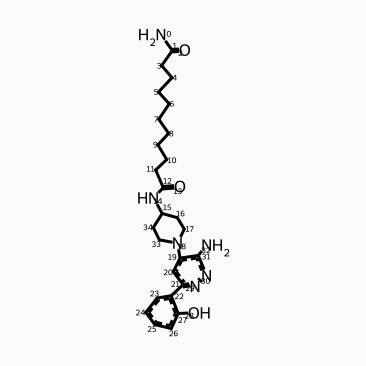 NC(=O)CCCCCCCCCC(=O)NC1CCN(c2cc(-c3ccccc3O)nnc2N)CC1